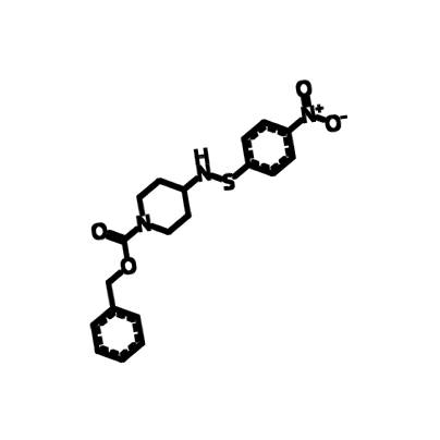 O=C(OCc1ccccc1)N1CCC(NSc2ccc([N+](=O)[O-])cc2)CC1